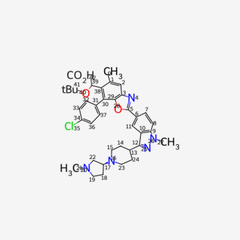 Cc1cc2nc(-c3ccc4c(c3)c(C3CCN([C@H]5CCN(C)C5)CC3)nn4C)oc2c(-c2ccc(Cl)cc2)c1C(OC(C)(C)C)C(=O)O